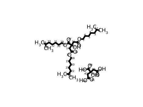 CC(C)CCCCCOC(=O)CC(O)(CC(=O)OCCCCCC(C)C)C(=O)OCCCCCC(C)C.O=C(O)CC(O)(CC(=O)O)C(=O)O